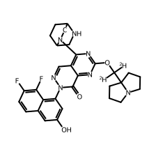 [2H]C([2H])(Oc1nc(N2CC3CCC2CN3)c2cnn(-c3cc(O)cc4ccc(F)c(F)c34)c(=O)c2n1)C12CCCN1CCC2